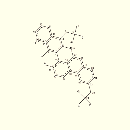 Cc1c2c(c(CC(C)(C)C)c3cccnc13)Sc1cc3ccc(CC(C)(C)C)cc3c3cc[n+](C)c-2c13